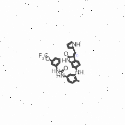 Cc1ccc(NC(=O)Nc2cccc(OC(F)(F)F)c2)cc1Nc1ccc2c(c1)NC(=O)/C2=C\c1ccc[nH]1